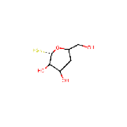 OCC1CC(O)C(O)[C@H](S)O1